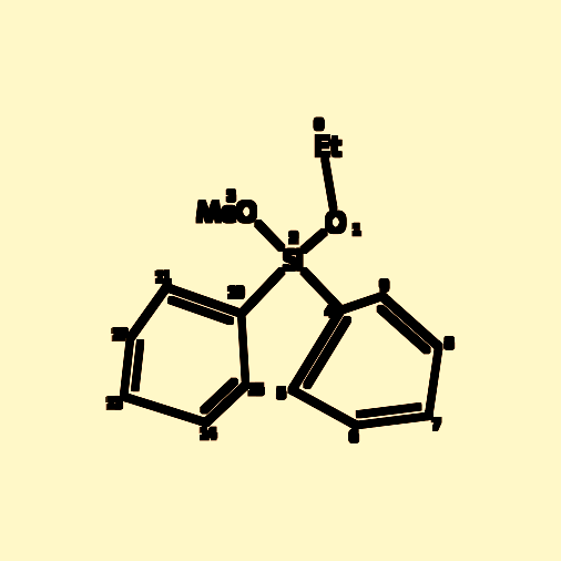 CCO[Si](OC)(c1ccccc1)c1ccccc1